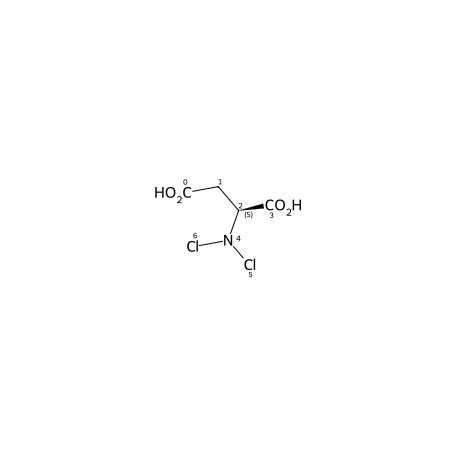 O=C(O)C[C@@H](C(=O)O)N(Cl)Cl